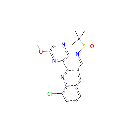 COc1cncc(-c2nc3c(Cl)cccc3cc2/C=N/[S+]([O-])C(C)(C)C)n1